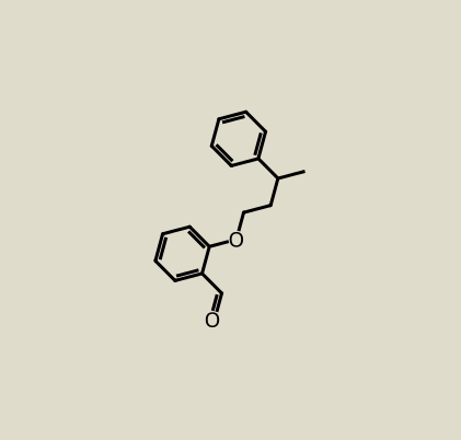 CC(CCOc1ccccc1C=O)c1ccccc1